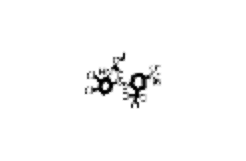 CCOC(=O)Nc1c(SSc2ccc([N+](=O)[O-])cc2C(Cl)(Cl)Cl)ccc(Cl)c1Cl